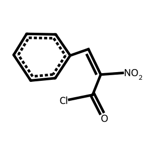 O=C(Cl)C(=Cc1ccccc1)[N+](=O)[O-]